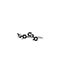 COc1ccc(C)c(-c2cn3cccc(Nc4ccc(-c5cnc(C)o5)c(F)c4)c3n2)c1